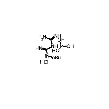 CCCCNC(=N)NC(=N)N.Cl.OP(O)O